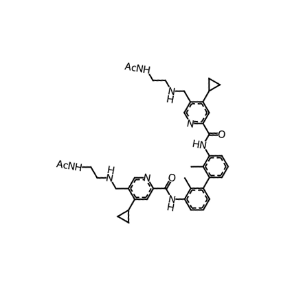 CC(=O)NCCNCc1cnc(C(=O)Nc2cccc(-c3cccc(NC(=O)c4cc(C5CC5)c(CNCCNC(C)=O)cn4)c3C)c2C)cc1C1CC1